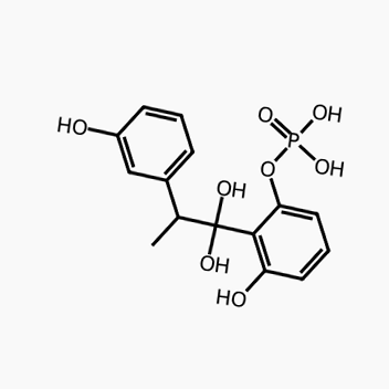 CC(c1cccc(O)c1)C(O)(O)c1c(O)cccc1OP(=O)(O)O